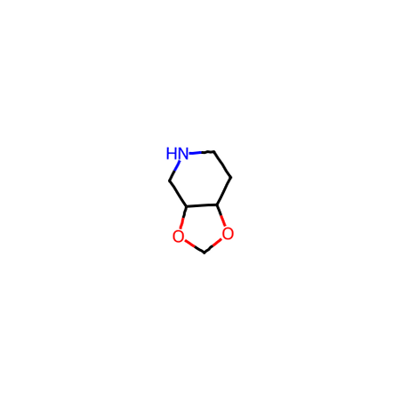 C1CC2OCOC2CN1